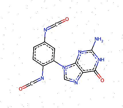 Nc1nc2c(ncn2-c2cc(N=C=O)ccc2N=C=O)c(=O)[nH]1